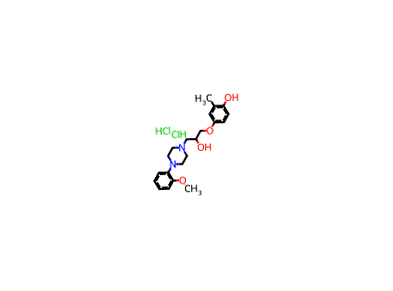 COc1ccccc1N1CCN(CC(O)COc2ccc(O)c(C)c2)CC1.Cl.Cl